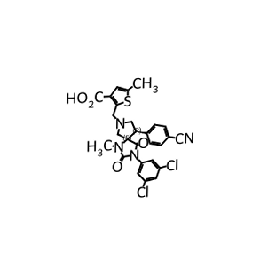 Cc1cc(C(=O)O)c(CN2C[C@@H](c3ccc(C#N)cc3)[C@]3(C2)C(=O)N(c2cc(Cl)cc(Cl)c2)C(=O)N3C)s1